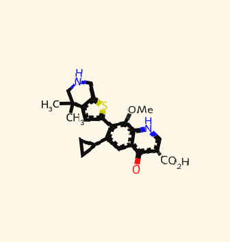 COc1c(-c2cc3c(s2)CNCC3(C)C)c(C2CC2)cc2c(=O)c(C(=O)O)c[nH]c12